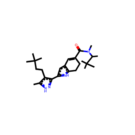 Cc1[nH]nc(-c2cc3c([nH]2)CCC(C(=O)N(C)C(C)C(C)(C)C)=C3)c1CCC(C)(C)C